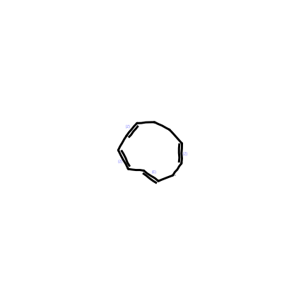 [CH]1/C=C\CC\C=C/C=C\C=C\1